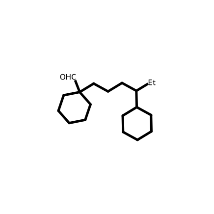 CCC(CCCC1(C=O)CCCCC1)C1CCCCC1